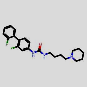 O=C(NCCCCN1CCCCC1)Nc1ccc(-c2ccccc2F)c(F)c1